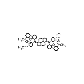 CCCc1ccc(N(c2ccc3ccc4c(N(c5ccc(C6CCCCC6)cc5)c5cccc6c5oc5c(C(C)C)cccc56)ccc5ccc2c3c54)c2cccc3c2oc2c(C(C)C)cccc23)cc1